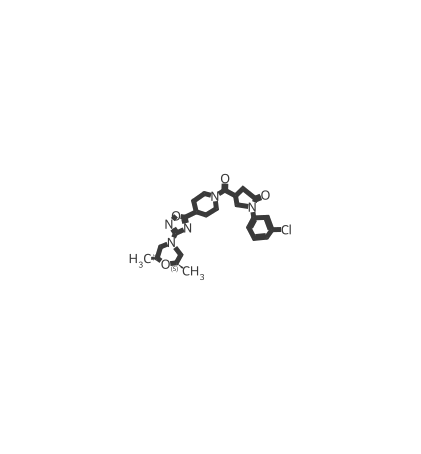 C[C@H]1CN(c2noc(C3CCN(C(=O)C4CC(=O)N(c5cccc(Cl)c5)C4)CC3)n2)C[C@H](C)O1